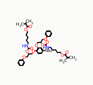 C=C(C)C(=O)OCCCCCNC(=O)OC(COc1ccccc1)COc1ccc(C(C)(C)C)cc1OCC(COc1ccccc1)OC(=O)NCCCCCOC(=O)C(=C)C